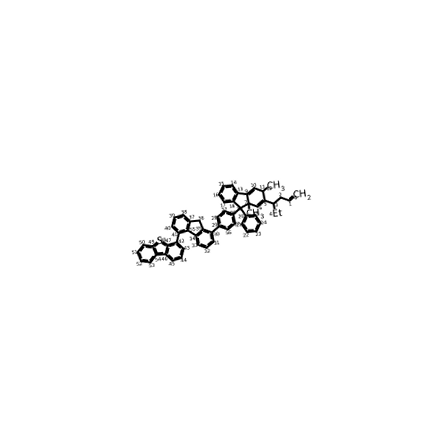 C=CCC(CC)C1=CC2(C)C(=CC1C)c1ccccc1C2(c1ccccc1)c1ccc(-c2cccc3c2Cc2cccc(-c4cccc5c4sc4ccccc45)c2-3)cc1